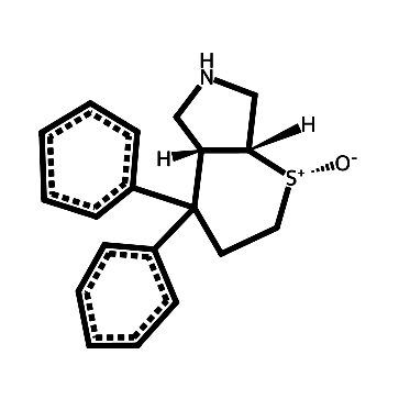 [O-][S@+]1CCC(c2ccccc2)(c2ccccc2)[C@@H]2CNC[C@@H]21